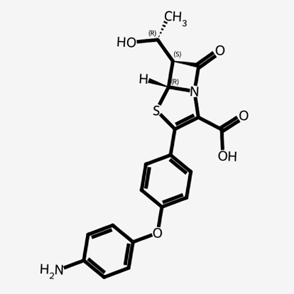 C[C@@H](O)[C@H]1C(=O)N2C(C(=O)O)=C(c3ccc(Oc4ccc(N)cc4)cc3)S[C@H]12